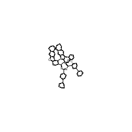 CC1=C(c2cccc(-c3ccccc3)c2)N=C(c2ccc(-c3ccccc3)cc2)N=C(c2ccc3oc4cc5ccccc5cc4c3c2-n2c3cc4ccccc4cc3c3c4ccccc4ccc32)C1